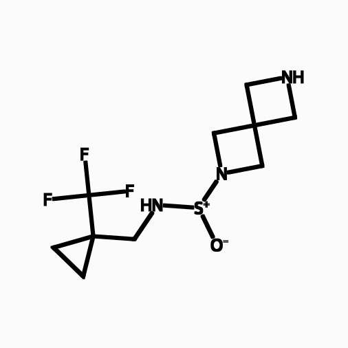 [O-][S+](NCC1(C(F)(F)F)CC1)N1CC2(CNC2)C1